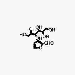 O=Cc1ccco1.OCC(O)C(O)C(O)C(O)CO